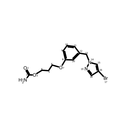 NC(=O)OCCCOc1cccc(Cn2cc(Br)cn2)c1